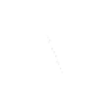 CCCCCCCCCCCCCCCCCCCO[C]=O